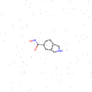 O=NC(=O)c1ccc2c[nH]cc2c1